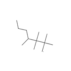 [CH2]C(C)(C)C(C)(C)C(C)CCC